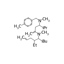 C=CCC(CC)C(C(C)CC)N(C)C(=C)CC(C(C)C)N(C)Cc1ccc(C)cc1